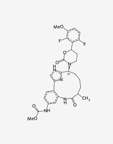 COC(=O)Nc1ccc2c(c1)NC(=O)C(C)CCC[C@H](N1CCC(c3c(F)ccc(OC)c3F)OC1=O)c1nc-2c[nH]1